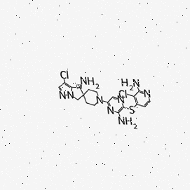 Nc1nc(N2CCC3(CC2)Cn2ncc(Cl)c2[C@H]3N)cnc1Sc1ccnc(N)c1Cl